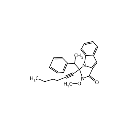 CCCCC#CC1(C(C)c2ccccc2)N(OC)C(=O)c2cc3ccccc3n21